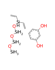 C=C[SiH](C=C)O[SiH2]O[SiH2]O[SiH3].Oc1cccc(O)c1